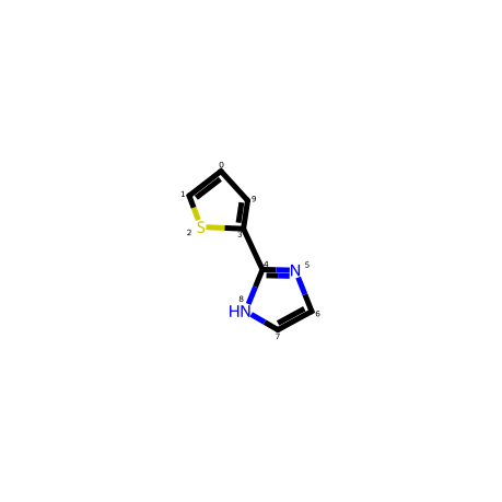 c1csc(-c2ncc[nH]2)c1